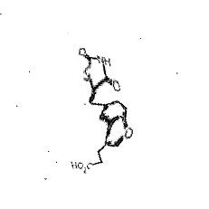 O=C(O)CCc1coc2ccc(C=C3SC(=O)NC3=O)cc12